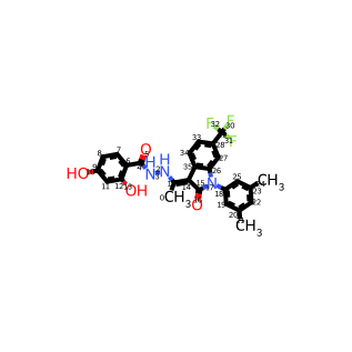 CC(NNC(=O)c1ccc(O)cc1O)=C1C(=O)N(c2cc(C)cc(C)c2)c2cc(C(F)(F)F)ccc21